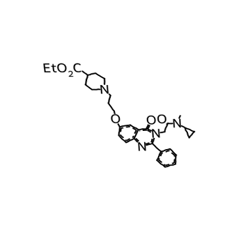 CCOC(=O)C1CCN(CCCOc2ccc3nc(-c4ccccc4)n(CC(=O)N(C)C4CC4)c(=O)c3c2)CC1